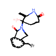 BC1(N2Cc3c(cccc3C(C)C)C2=O)CCC(=O)NC1=C